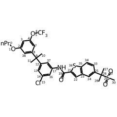 CCCOc1cc(OC(F)(F)F)cc(C(C)(C)c2cc(Cl)cc(NC(=O)c3cc4cc(C(C)(C)S(C)(=O)=O)ccc4s3)c2)c1